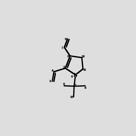 C=CC1=C(C=C)N(C(C)(C)C)CC1